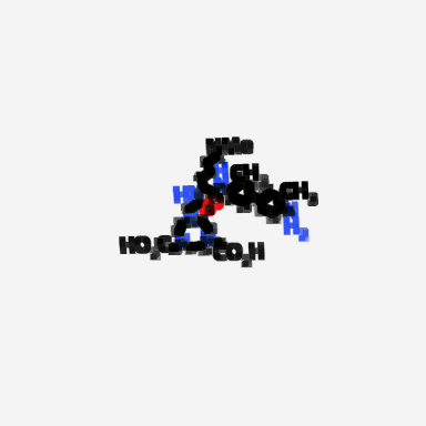 CNCCCCC(NC(=O)CN1CCN(CC(=O)O)CCN(CC(=O)O)CC1)C(=O)Nc1ccc(-c2ccc(N)c(C)c2)cc1C